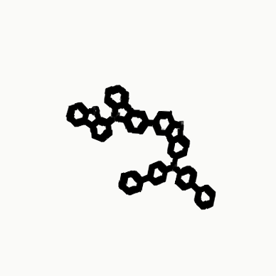 c1ccc(-c2ccc(N(c3ccc(-c4ccccc4)cc3)c3ccc4sc5ccc(-c6ccc7c(c6)c6ccccc6n7-c6cccc7c6oc6ccccc67)cc5c4c3)cc2)cc1